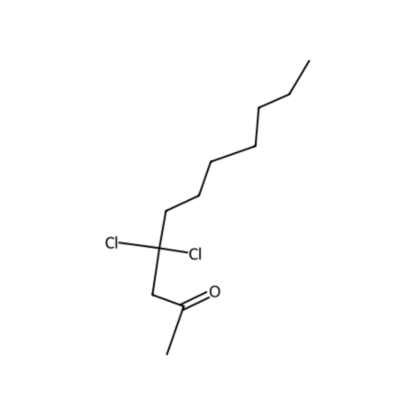 CCCCCCCC(Cl)(Cl)CC(C)=O